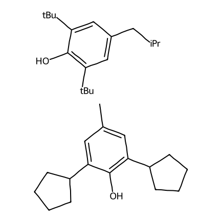 CC(C)Cc1cc(C(C)(C)C)c(O)c(C(C)(C)C)c1.Cc1cc(C2CCCC2)c(O)c(C2CCCC2)c1